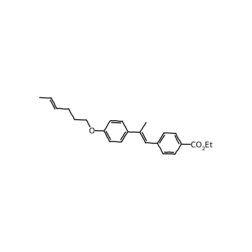 C/C=C/CCCOc1ccc(/C(C)=C/c2ccc(C(=O)OCC)cc2)cc1